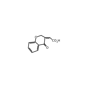 O=C(O)C=C1COc2ccccc2C1=O